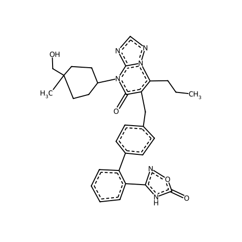 CCCc1c(Cc2ccc(-c3ccccc3-c3noc(=O)[nH]3)cc2)c(=O)n(C2CCC(C)(CO)CC2)c2ncnn12